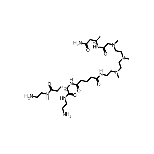 C[C@H](CC(N)=O)NC(=O)CN(C)CCN(C)CCN(C)CCNC(=O)CCCC(=O)N[C@@H](CCC(=O)NCCN)C(=O)NCCN